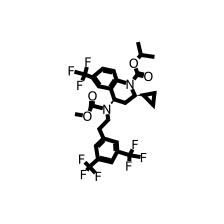 COC(=O)N(CCc1cc(C(F)(F)F)cc(C(F)(F)F)c1)[C@H]1C[C@@H](C2CC2)N(C(=O)OC(C)C)c2ccc(C(F)(F)F)cc21